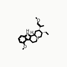 CC[C@@H]1CN2CCc3c([nH]c4cccc(OC)c34)[C@@H]2C[C@@H]1C(C)=COC